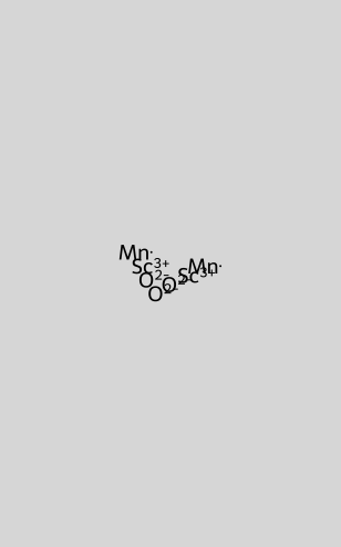 [Mn].[Mn].[O-2].[O-2].[O-2].[Sc+3].[Sc+3]